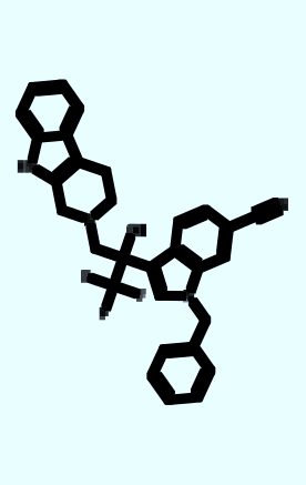 N#Cc1ccc2c(C(O)(CN3CCc4c([nH]c5ccccc45)C3)C(F)(F)F)cn(Cc3ccccc3)c2c1